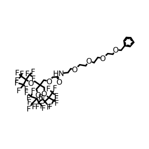 O=C(COCC(COC(C(F)(F)F)(C(F)(F)F)C(F)(F)F)(COC(C(F)(F)F)(C(F)(F)F)C(F)(F)F)COC(C(F)(F)F)(C(F)(F)F)C(F)(F)F)NCCOCCOCCOCCOCc1ccccc1